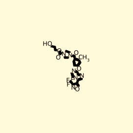 Cc1cc(Oc2nccn3c(-c4conc4C(F)(F)F)cnc23)ccc1C(=O)N1CCN(C(=O)OCCCO)CC1